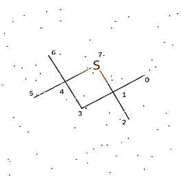 CC1(C)[CH]C(C)(C)S1